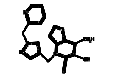 O=C(O)c1c(O)c(=O)n(Cc2cnn(Cc3ccccn3)c2)c2ccsc12